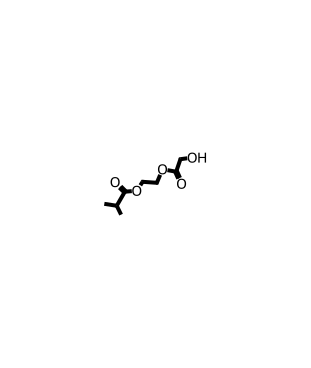 CC(C)C(=O)OCCOC(=O)CO